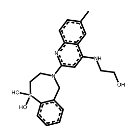 Cc1ccc2nc(N3CCS(O)(O)c4ccccc4C3)cc(NCCO)c2c1